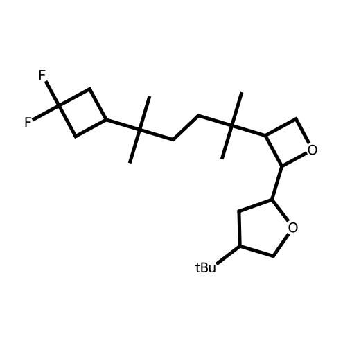 CC(C)(C)C1COC(C2OCC2C(C)(C)CCC(C)(C)C2CC(F)(F)C2)C1